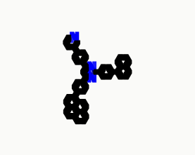 c1cncc(-c2ccc(-c3cc(-c4ccc(-c5ccc6ccc7cccc8ccc5c6c78)cc4)nc(-c4ccc(-c5cccc6ccccc56)cc4)n3)cc2)c1